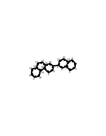 [c]1cccc2cc(-c3ccc4c(ccc5ccccc54)c3)ccc12